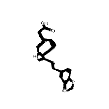 O=C(O)Cc1ccc2c(CCc3ccc4c(c3)OCO4)c[nH]c2c1